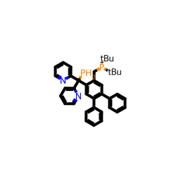 CC(C)(C)P(Cc1cc(-c2ccccc2)c(-c2ccccc2)cc1C(P)(c1ccccn1)c1ccccn1)C(C)(C)C